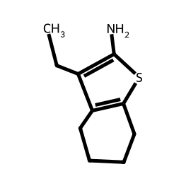 CCc1c(N)sc2c1CCCC2